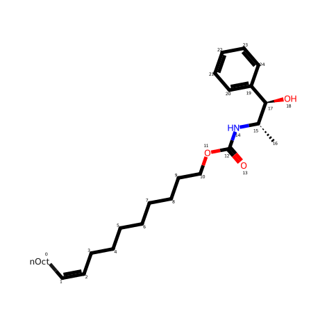 CCCCCCCC/C=C\CCCCCCCCOC(=O)N[C@@H](C)[C@H](O)c1ccccc1